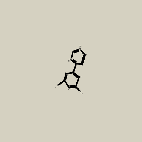 Fc1cc(F)cc(-c2ccncn2)c1